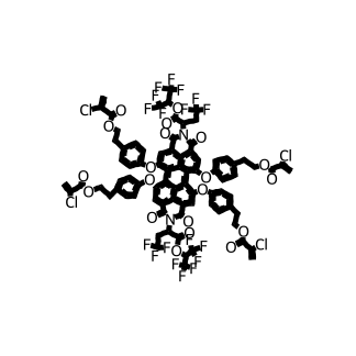 C=C(Cl)C(=O)OCCc1ccc(Oc2cc3c4c(cc(Oc5ccc(CCOC(=O)C(=C)Cl)cc5)c5c6c(Oc7ccc(CCOC(=O)C(=C)Cl)cc7)cc7c8c(cc(Oc9ccc(CCOC(=O)C(=C)Cl)cc9)c(c2c45)c86)C(=O)N(C(CC(F)(F)F)C(=O)OC(C(F)(F)F)C(F)(F)F)C7=O)C(=O)N(C(CC(F)(F)F)C(=O)OC(C(F)(F)F)C(F)(F)F)C3=O)cc1